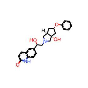 O=c1ccc2cc([C@@H](O)CN3C[C@H]4C[C@H](Oc5ccccc5)C[C@@]4(O)C3)ccc2[nH]1